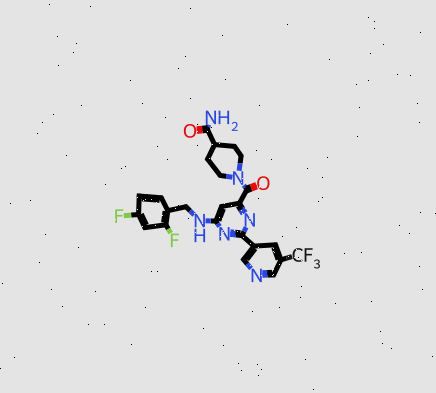 NC(=O)C1CCN(C(=O)c2cc(NCc3ccc(F)cc3F)nc(-c3cncc(C(F)(F)F)c3)n2)CC1